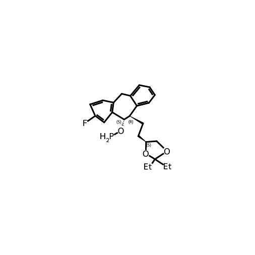 CCC1(CC)OC[C@H](CC[C@@H]2c3ccccc3Cc3ccc(F)cc3[C@H]2OP)O1